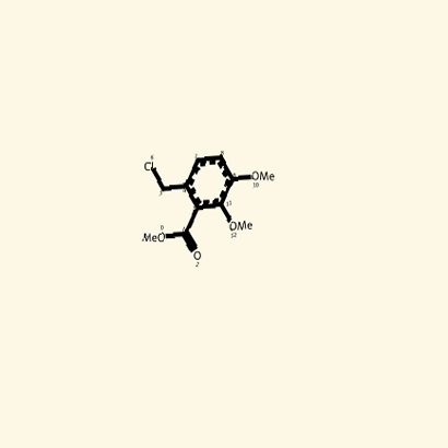 COC(=O)c1c(CCl)ccc(OC)c1OC